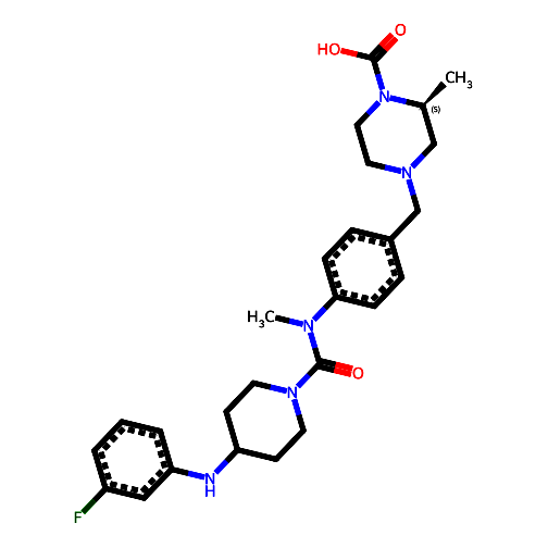 C[C@H]1CN(Cc2ccc(N(C)C(=O)N3CCC(Nc4cccc(F)c4)CC3)cc2)CCN1C(=O)O